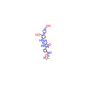 C=CC(=O)Nc1cccc(-c2nc(=O)c3cnc(Nc4ccc(N5CCN(CCO)CC5)c(CO)c4)nc3[nH]2)c1